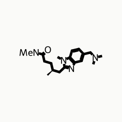 CNC(=O)CC[C@H](C)Cc1nc2cc(CN(C)C)ccc2n1C